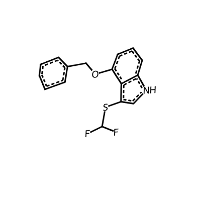 FC(F)Sc1c[nH]c2cccc(OCc3ccccc3)c12